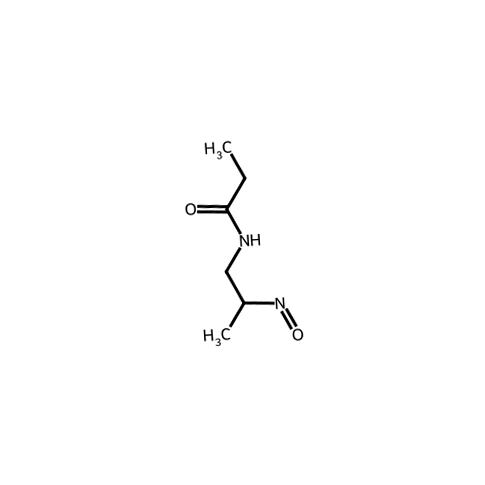 CCC(=O)NCC(C)N=O